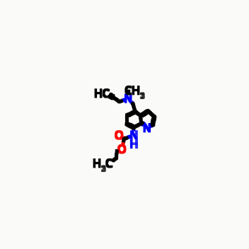 C#CCN(C)Cc1ccc(NC(=O)OCCC)c2ncccc12